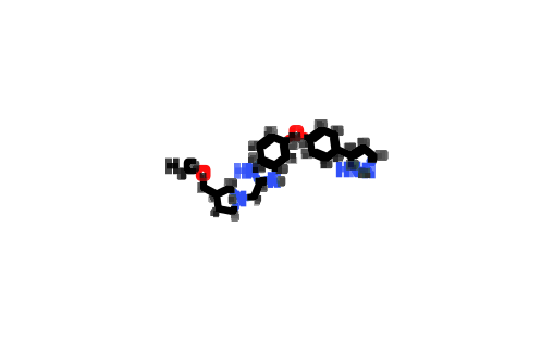 COCC1CCN(Cc2nc3cc(Oc4ccc(-c5ccn[nH]5)cc4)ccc3[nH]2)C1